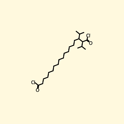 CC(C)C(CCCCCCCCCCCCCCC(=O)Cl)C(C(=O)Cl)C(C)C